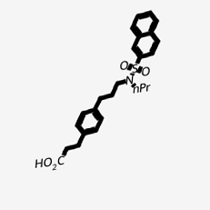 CCCN(CCCc1ccc(CCC(=O)O)cc1)S(=O)(=O)c1ccc2ccccc2c1